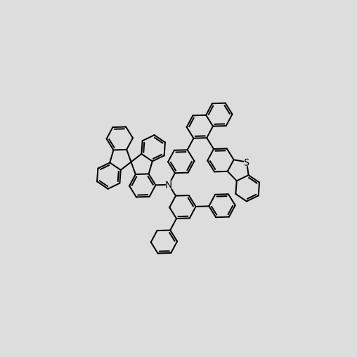 C1=CCCC(C2=CC(c3ccccc3)=CC(N(c3ccc(-c4ccc5ccccc5c4C4=CC5SC6=CC=CCC6C5C=C4)cc3)c3cccc4c3-c3ccccc3C43c4ccccc4C4=CC=CCC43)C2)=C1